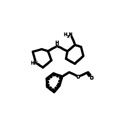 NC1CCCCC1NC1CCNCC1.O=COCc1ccccc1